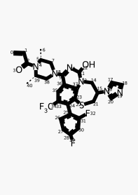 C=CC(=O)N1[C@H](C)CN(C2=NC(O)N3CC(n4ccnc4)CSc4c(-c5ccc(F)cc5F)c(C(F)(F)F)cc2c43)C[C@@H]1C